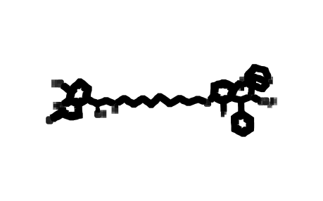 O=C(O)N(C(c1ccccc1)c1c(F)ccc(OCCCCCCCCCNC[C@H](O)c2ccc(O)c3[nH]c(=O)ccc23)c1F)[C@H]1CN2CCC1CC2